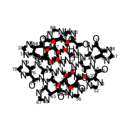 O=C1N=C(NN(C2=NC(=O)C3=NC=NC3=N2)N(C2=NC(=O)C3=NC=NC3=N2)N(C2=NC(=O)C3=NC=NC3=N2)N(C2=NC(=O)C3=NC=NC3=N2)N(C2=NC(=O)C3=NC=NC3=N2)N(C2=NC(=O)C3=NC=NC3=N2)N(C2=NC(=O)C3=NC=NC3=N2)N(Nc2nc3nc[nH]c3c(=O)[nH]2)C2=NC(=O)C3=NC=NC3=N2)N=C2N=CN=C12